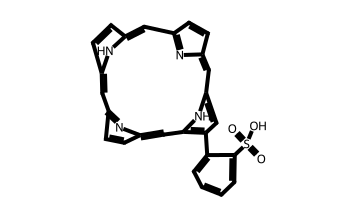 O=S(=O)(O)c1ccccc1-c1cc2cc3nc(cc4ccc(cc5nc(cc1[nH]2)C=C5)[nH]4)C=C3